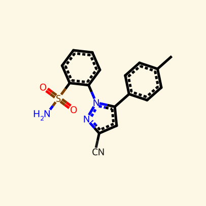 Cc1ccc(-c2cc(C#N)nn2-c2ccccc2S(N)(=O)=O)cc1